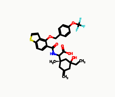 C=C1CC(O)(CC)C[C@](C)(C(NC(=O)c2ccc3sccc3c2OCc2ccc(OC(F)(F)F)cc2)C(=O)O)C1